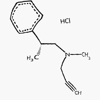 C#CCN(C)C[C@H](C)c1ccccc1.Cl